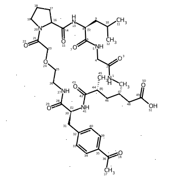 CNC(=O)CNC(=O)[C@H](CC(C)C)NC(=O)C1CCCN1C(=O)COCCNC(=O)[C@H](Cc1ccc(C(C)=O)cc1)NC(=O)[C@H](C)CCCC(=O)O